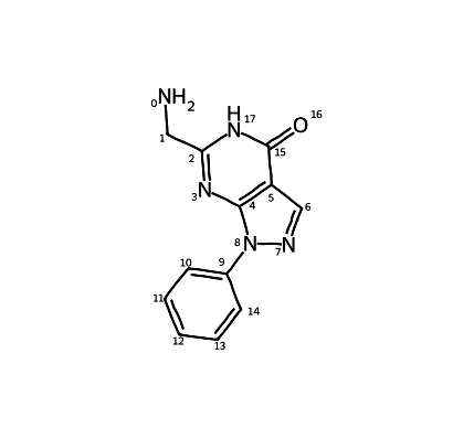 NCc1nc2c(cnn2-c2ccccc2)c(=O)[nH]1